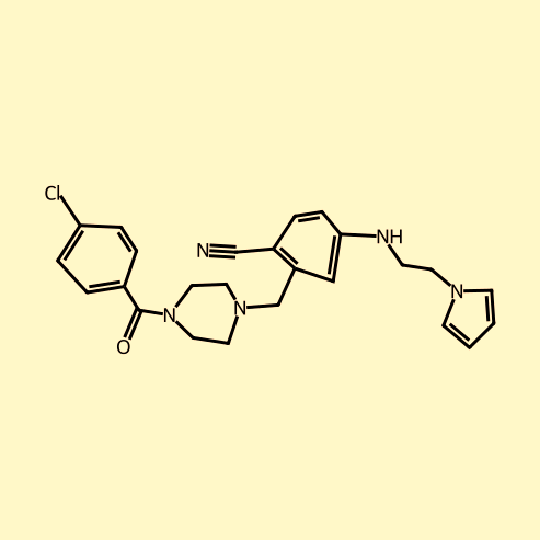 N#Cc1ccc(NCCn2cccc2)cc1CN1CCN(C(=O)c2ccc(Cl)cc2)CC1